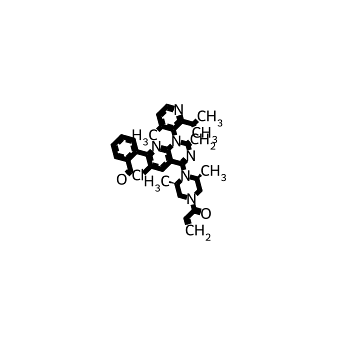 C=CC(=O)N1C[C@H](C)N(C2=NC(=C)N(c3c(C)ccnc3C(C)C)c3nc(-c4ccccc4C=O)c(Cl)cc32)[C@@H](C)C1